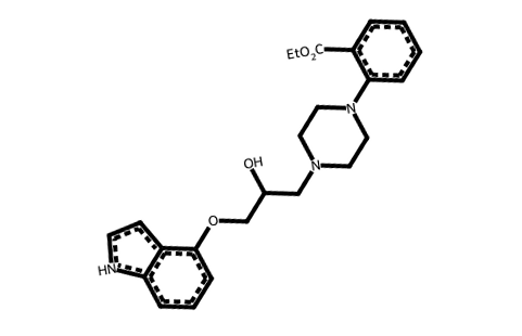 CCOC(=O)c1ccccc1N1CCN(CC(O)COc2cccc3[nH]ccc23)CC1